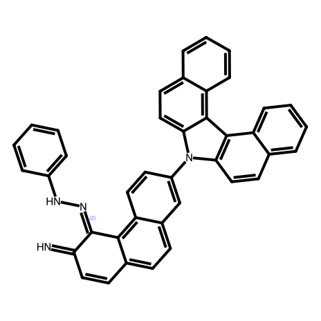 N=C1C=Cc2ccc3cc(-n4c5ccc6ccccc6c5c5c6ccccc6ccc54)ccc3c2/C1=N/Nc1ccccc1